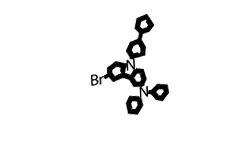 Brc1ccc2c(c1)c1cc(N(c3ccccc3)c3ccccc3)ccc1n2-c1ccc(-c2ccccc2)cc1